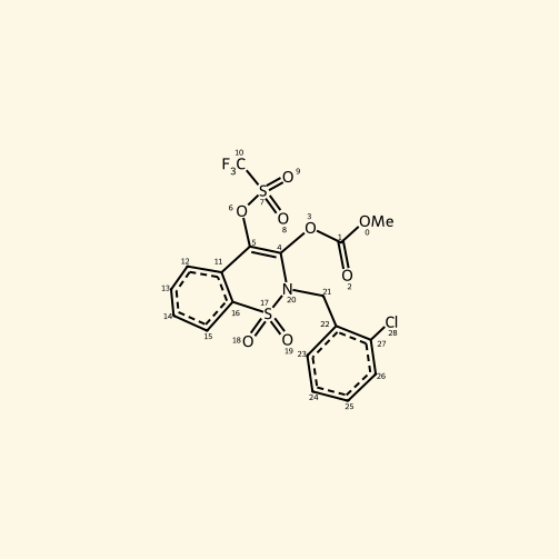 COC(=O)OC1=C(OS(=O)(=O)C(F)(F)F)c2ccccc2S(=O)(=O)N1Cc1ccccc1Cl